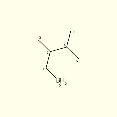 BCC(C)C(C)C